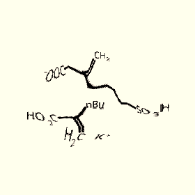 C=C(CCCC)C(=O)O.C=C(CCCS(=O)(=O)O)C(=O)[O-].[K+]